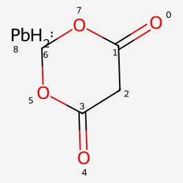 O=C1CC(=O)OCO1.[PbH2]